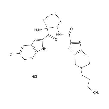 CCCCN1CCc2nc(C(=O)NC3CCCCC3(N)C(=O)c3cc4cc(Cl)ccc4[nH]3)sc2C1.Cl